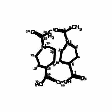 CC(=O)N1CCC(C(=O)O)CC1.CC(=O)N1CCC(C(=O)O)CC1